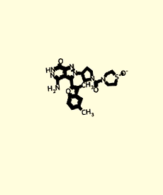 Cc1ccc2oc(-c3c4c(N)n[nH]c(=O)c4nn3C3CCN(C(=O)N4CC[S+]([O-])CC4)C3)c(C)c2c1